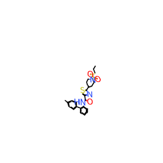 CCCS(=O)(=O)N1CCC(c2nc(C(=O)Nc3ccccc3-c3ccc(C)cc3)cs2)CC1